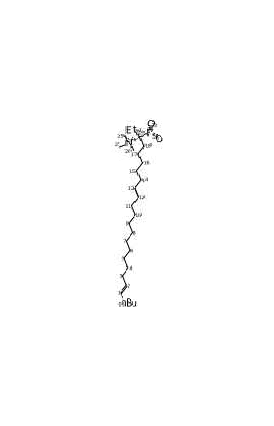 CCCCC=CCCCCCCCCCCCCCCCCC(CC)(P(=O)=O)[N+](C)(C)C